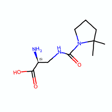 CC1(C)CCCN1C(=O)NC[C@H](N)C(=O)O